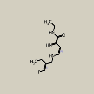 CCNC(=O)C(=N)/C=C\NC/C(=C/F)CC